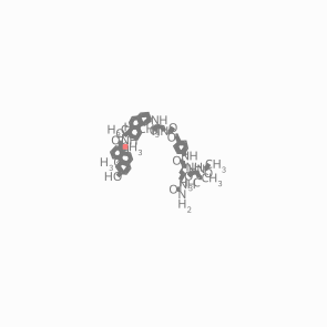 CC(=O)N[C@H](C(=O)N[C@@H](CCCNC(N)=O)C(=O)Nc1ccc(COC(=O)NCC(=O)Nc2ccc3c(c2)[C@@]2(C)CCC[C@](C)(C(=O)NC(=O)[C@@]4(C)CCC[C@]5(C)c6cc(O)ccc6CC[C@@H]45)[C@@H]2CC3)cc1)C(C)C